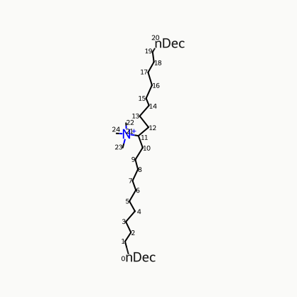 CCCCCCCCCCCCCCCCCCCCC(CCCCCCCCCCCCCCCCCC)[N+](C)(C)C